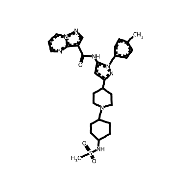 Cc1ccc(-n2nc(C3CCN(C4CCC(NS(C)(=O)=O)CC4)CC3)cc2NC(=O)c2cnn3cccnc23)cc1